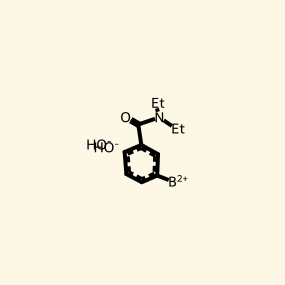 [B+2]c1cccc(C(=O)N(CC)CC)c1.[OH-].[OH-]